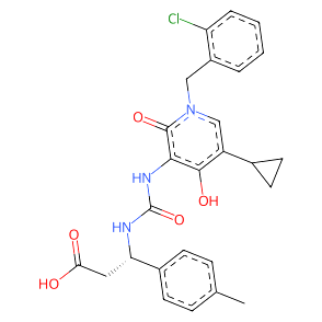 Cc1ccc([C@H](CC(=O)O)NC(=O)Nc2c(O)c(C3CC3)cn(Cc3ccccc3Cl)c2=O)cc1